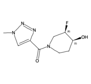 Cn1cc(C(=O)N2CC[C@H](O)[C@H](F)C2)nn1